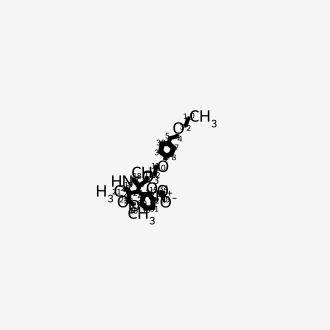 CCCOCCc1ccc(OCCOC(=O)C2=C(C)NC(C)=C(C(=O)OC)C2c2cccc([N+](=O)[O-])c2)cc1